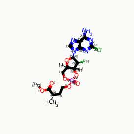 CC(C)OC(=O)[C@@H](C)CCO[P@@]1(=O)OC[C@H]2O[C@@H](n3cnc4c(N)nc(Cl)nc43)[C@@H](F)[C@@H]2O1